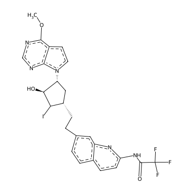 COc1ncnc2c1ccn2[C@@H]1C[C@H](CCc2ccc3ccc(NC(=O)C(F)(F)F)nc3c2)C(I)[C@H]1O